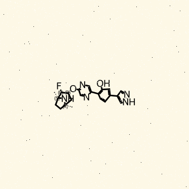 C[C@]12CC[C@](C)(N1)[C@@H](F)[C@H](Oc1cnc(-c3ccc(-c4cn[nH]c4)cc3O)cn1)C2